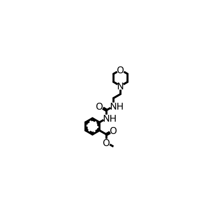 COC(=O)c1ccccc1NC(=O)NCCN1CCOCC1